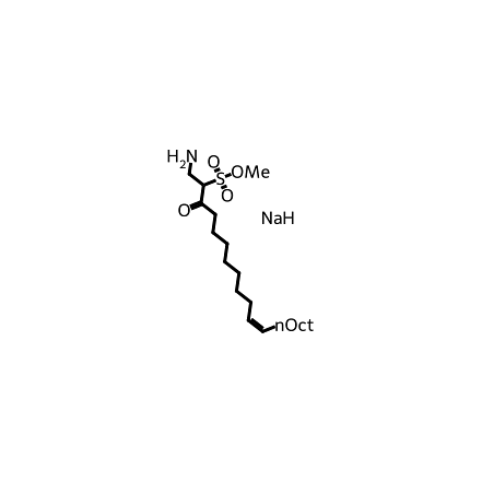 CCCCCCCC/C=C\CCCCCCCC(=O)C(CN)S(=O)(=O)OC.[NaH]